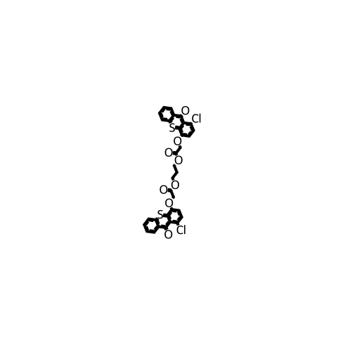 O=C(COc1ccc(Cl)c2c(=O)c3ccccc3sc12)OCCCOC(=O)COc1ccc(Cl)c2c(=O)c3ccccc3sc12